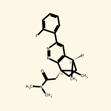 CN(C)C(=O)C[C@]12CC[C@H](c3cc(-c4ccccc4F)nnc31)C2(C)C